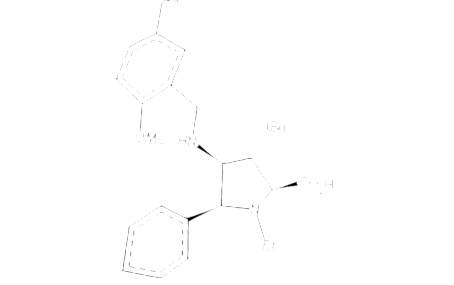 CCN1[C@H](C(=O)O)[C@@H](C(C)(C)C)[C@H](NCc2cc(C(C)(C)C)ccc2OC)[C@@H]1c1ccccc1